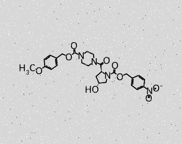 COc1ccc(COC(=O)N2CCN(C(=O)[C@@H]3C[C@@H](O)CN3C(=O)OCc3ccc([N+](=O)[O-])cc3)CC2)cc1